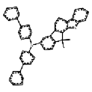 CC1(C)c2ccc(N(c3ccc(-c4ccccc4)cc3)c3ccc(-c4ccccc4)cc3)cc2-c2ccc3c(sc4ccccc43)c21